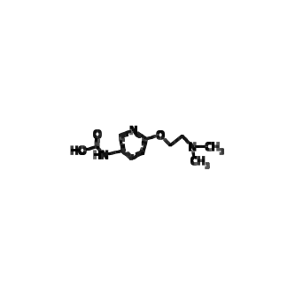 CN(C)CCOc1ccc(NC(=O)O)cn1